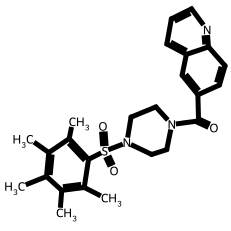 Cc1c(C)c(C)c(S(=O)(=O)N2CCN(C(=O)c3ccc4ncccc4c3)CC2)c(C)c1C